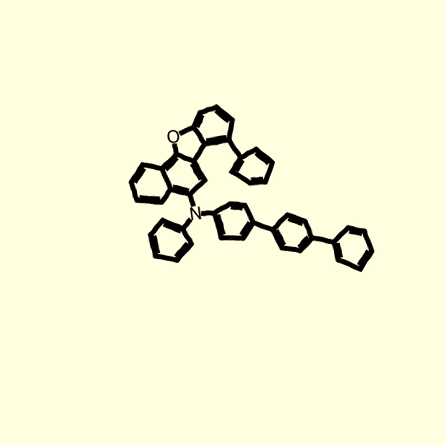 c1ccc(-c2ccc(-c3ccc(N(c4ccccc4)c4cc5c(oc6cccc(-c7ccccc7)c65)c5ccccc45)cc3)cc2)cc1